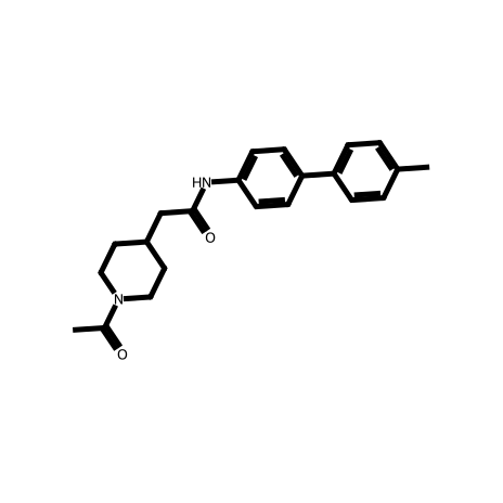 CC(=O)N1CCC(CC(=O)Nc2ccc(-c3ccc(C)cc3)cc2)CC1